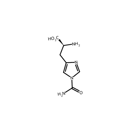 NC(=O)n1cnc(C[C@H](N)C(=O)O)c1